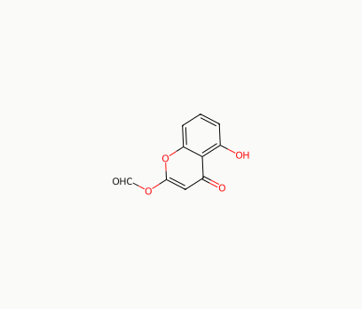 O=COc1cc(=O)c2c(O)cccc2o1